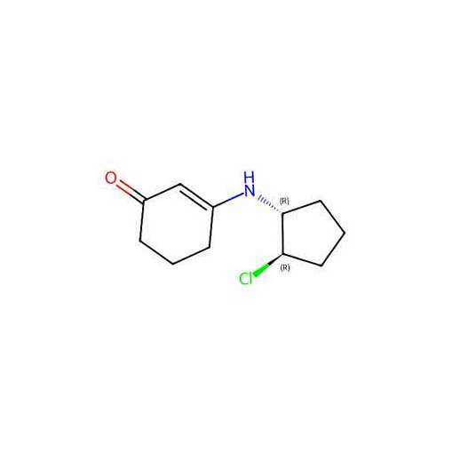 O=C1C=C(N[C@@H]2CCC[C@H]2Cl)CCC1